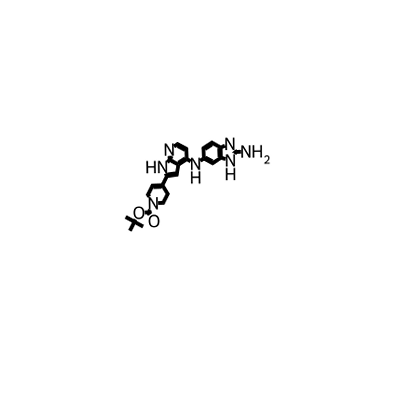 CC(C)(C)OC(=O)N1CC=C(c2cc3c(Nc4ccc5nc(N)[nH]c5c4)ccnc3[nH]2)CC1